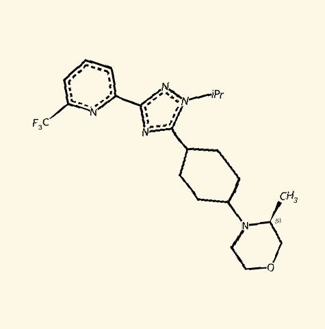 CC(C)n1nc(-c2cccc(C(F)(F)F)n2)nc1C1CCC(N2CCOC[C@@H]2C)CC1